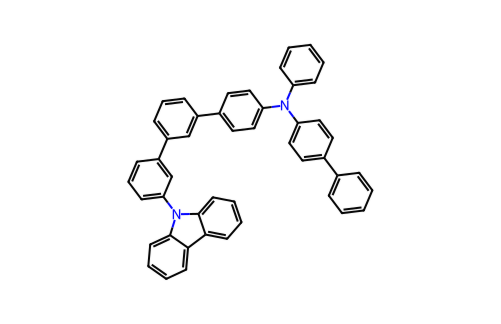 c1ccc(-c2ccc(N(c3ccccc3)c3ccc(-c4cccc(-c5cccc(-n6c7ccccc7c7ccccc76)c5)c4)cc3)cc2)cc1